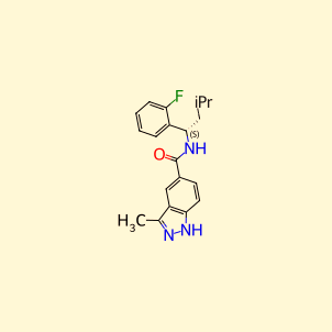 Cc1n[nH]c2ccc(C(=O)N[C@@H](CC(C)C)c3ccccc3F)cc12